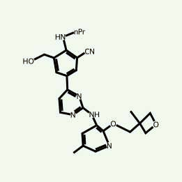 CCCNc1c(C#N)cc(-c2ccnc(Nc3cc(C)cnc3OCC3(C)COC3)n2)cc1CO